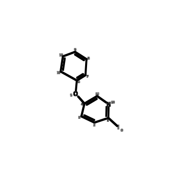 Ic1ccc(Oc2ccccc2)cn1